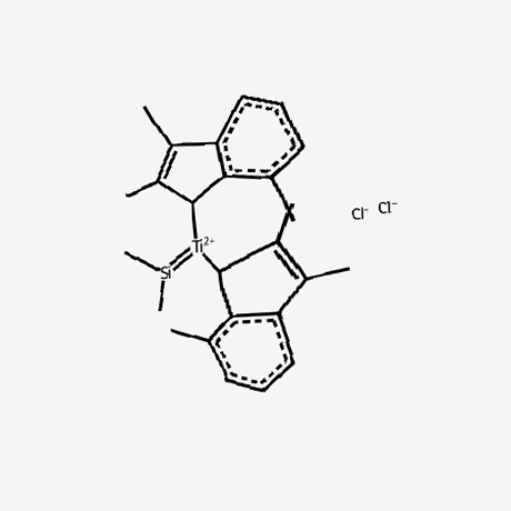 CC1=C(C)[CH]([Ti+2]([CH]2C(C)=C(C)c3cccc(C)c32)=[Si](C)C)c2c(C)cccc21.[Cl-].[Cl-]